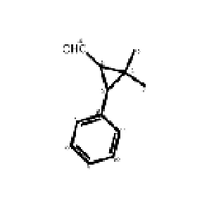 CC1(C)C(C=O)C1c1ccccc1